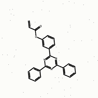 C=CC(=O)Oc1cccc(-c2nc(-c3ccccc3)nc(-c3ccccc3)n2)c1